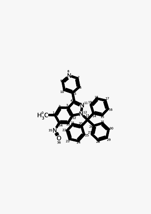 Cc1cc2c(-c3ccncc3)nn(C(c3ccccc3)(c3ccccc3)c3ccccc3)c2cc1N=O